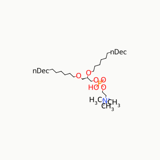 CCCCCCCCCCCCCCCCOC[C@H](COP(=O)(O)OCC[N+](C)(C)C)OCCCCCCCCCCCCCCCC